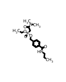 CCCNC(=O)c1ccc(COP(=O)(CC(=O)N(C)C)OCC)cc1